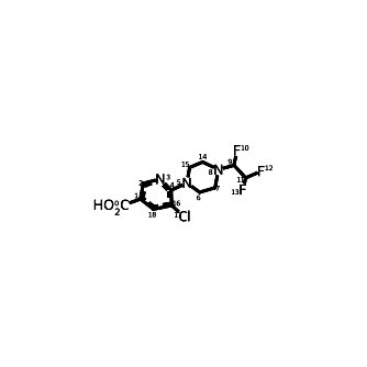 O=C(O)c1cnc(N2CCN(C(F)C(F)F)CC2)c(Cl)c1